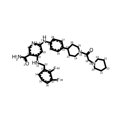 NC(=O)c1cnc(Nc2ccc(C3CCN(C(=O)CN4CCCCC4)CC3)cc2)cc1NCc1cccc(F)c1F